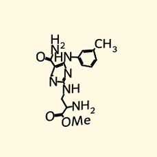 COC(=O)C(N)CNc1ncc(C(N)=O)c(Nc2cccc(C)c2)n1